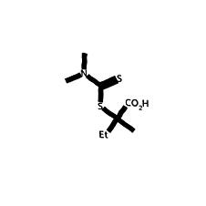 CCC(C)(SC(=S)N(C)C)C(=O)O